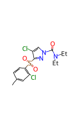 CCN(CC)C(=O)n1cc(Cl)c(S(=O)(=O)c2ccc(C)cc2Cl)n1